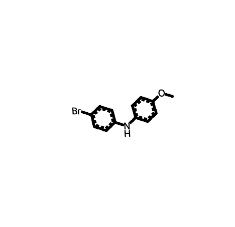 COc1ccc(Nc2ccc(Br)cc2)cc1